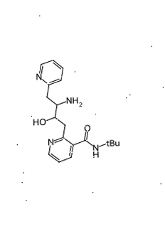 CC(C)(C)NC(=O)c1cccnc1CC(O)C(N)Cc1ccccn1